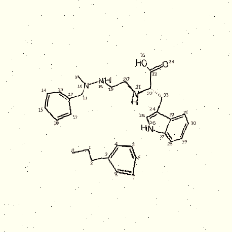 CCCc1ccccc1.CN(Cc1ccccc1)NCCN[C@@H](Cc1c[nH]c2ccccc12)C(=O)O